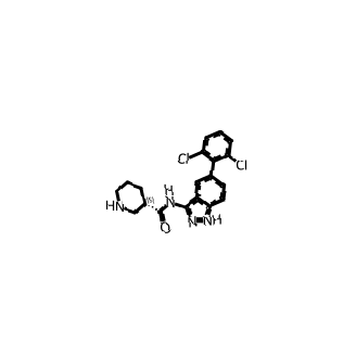 O=C(Nc1n[nH]c2ccc(-c3c(Cl)cccc3Cl)cc12)[C@H]1CCCNC1